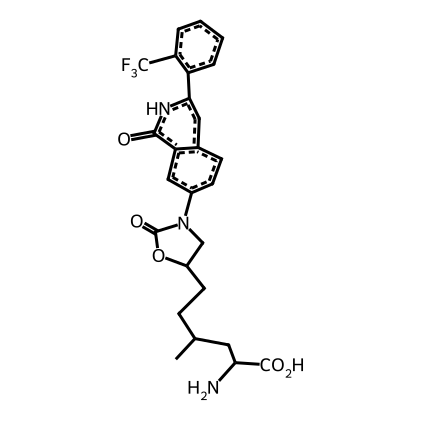 CC(CCC1CN(c2ccc3cc(-c4ccccc4C(F)(F)F)[nH]c(=O)c3c2)C(=O)O1)CC(N)C(=O)O